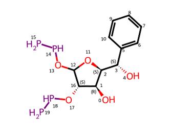 O[C@@H]1[C@H]([C@@H](O)c2ccccc2)OC(OPP)[C@H]1OPP